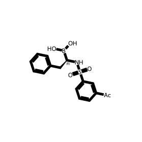 CC(=O)c1cccc(S(=O)(=O)N[C@@H](Cc2ccccc2)B(O)O)c1